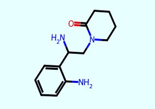 Nc1ccccc1C(N)CN1CCCCC1=O